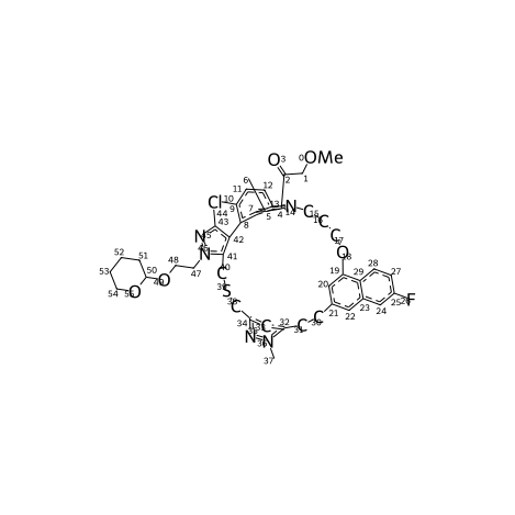 COCC(=O)c1c(C)c2c3c(Cl)ccc2n1CCCOc1cc(cc2cc(F)ccc12)CCc1cc(nn1C)CSCc1c-3c(C)nn1CCOC1CCCCO1